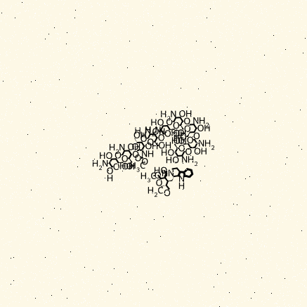 C=C[C@@H](C=O)[C@H](C[C@@H]1NCCc2c1[nH]c1ccccc21)/C(=C/O)C(=O)OC.COC(=O)N[C@H]1[C@H](O[C@H]2[C@H](O)[C@@H](N)[C@H](O[C@H]3[C@H](O)[C@@H](N)[C@H](O)O[C@@H]3CO)O[C@@H]2CO)O[C@H](CO)[C@@H](O[C@@H]2O[C@H](CO)[C@@H](O[C@@H]3O[C@H](CO)[C@@H](O[C@@H]4O[C@H](CO)[C@@H](O[C@@H]5O[C@H](CO)[C@@H](O[C@@H]6O[C@H](CO)[C@@H](O[C@@H]7O[C@H](CO)[C@@H](O)[C@H](O)[C@H]7N)[C@H](O)[C@H]6N)[C@H](O)[C@H]5N)[C@H](O)[C@H]4N)[C@H](O)[C@H]3N)[C@H](O)[C@H]2N)[C@@H]1O